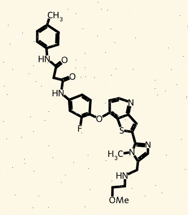 COCCNCc1cnc(-c2cc3nccc(Oc4ccc(NC(=O)CC(=O)Nc5ccc(C)cc5)cc4F)c3s2)n1C